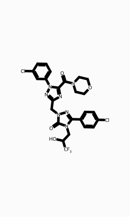 O=C(c1nc(Cn2nc(-c3ccc(Cl)cc3)n(CC(O)C(F)(F)F)c2=O)nn1-c1cccc(Cl)c1)N1CCOCC1